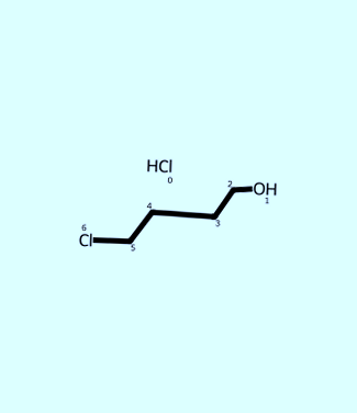 Cl.OCCCCCl